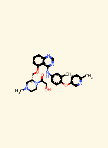 Cc1ccc(Oc2ccc(Nc3ncnc4cccc(OC[C@H]5CN(C)CCN5C(=O)CO)c34)cc2C)cn1